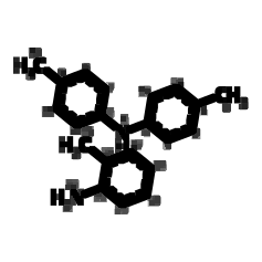 Cc1ccc(Nc2ccc(C)cc2)cc1.Cc1ccccc1N